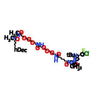 CCCCCCCCCCCCCCCC(=O)N(C)CCN(C)C(=O)CCOCCOCCOCCNC(=O)CCOCCOCCOCCNC(=O)CCCCCCC(=O)N1CCN(C(=O)c2ccc3c(-c4ccc(Cl)c(F)c4)cn(C(C)(C)C)c3n2)C(C)(C)C1